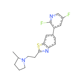 CC1CCCN1CCc1nc2ccc(-c3cc(F)cnc3F)cc2s1